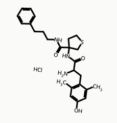 Cc1cc(O)cc(C)c1CC(N)C(=O)NC1(C(=O)NCCCc2ccccc2)CCSC1.Cl